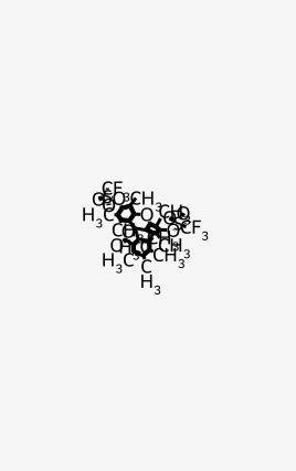 Cc1c(C)c(C)c2c(c1C)C(=O)OC21c2c(C)c(C)c(OS(=O)(=O)C(F)(F)F)c(C)c2Oc2c(C)c(OS(=O)(=O)C(F)(F)F)c(C)c(C)c21